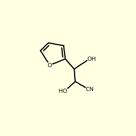 N#CC(O)C(O)c1ccco1